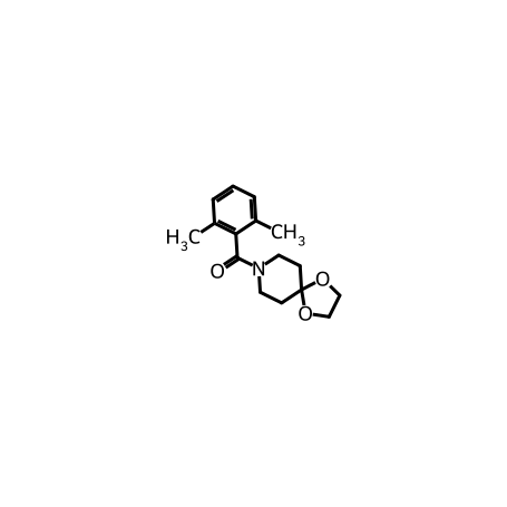 Cc1cccc(C)c1C(=O)N1CCC2(CC1)OCCO2